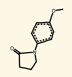 COc1[c]cc(N2CCCC2=O)cc1